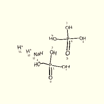 O=P(O)(O)O.O=P(O)(O)O.[H+].[H+].[NaH]